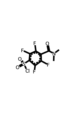 CN(C)C(=O)c1c(F)c(F)c(S(=O)(=O)Cl)c(F)c1F